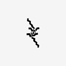 C=CC[Si](CC=C)(CC=CCCCC)OO[Si](CC=C)(CC=C)CC=CCCCC